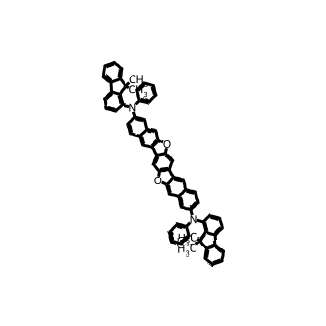 CC1(C)c2ccccc2-c2cccc(N(c3ccccc3)c3ccc4cc5c(cc4c3)oc3cc4c(cc35)oc3cc5cc(N(c6ccccc6)c6cccc7c6C(C)(C)c6ccccc6-7)ccc5cc34)c21